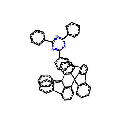 c1ccc(-c2nc(-c3ccccc3)nc(-c3cccc(-c4cccc5c4C4(c6ccccc6-5)c5ccccc5C5(c6ccccc6)c6ccccc6-c6cccc4c65)c3)n2)cc1